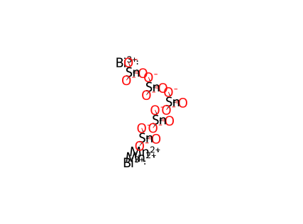 [Bi+3].[Bi+3].[Mn+2].[Mn+2].[O]=[Sn]([O-])[O-].[O]=[Sn]([O-])[O-].[O]=[Sn]([O-])[O-].[O]=[Sn]([O-])[O-].[O]=[Sn]([O-])[O-]